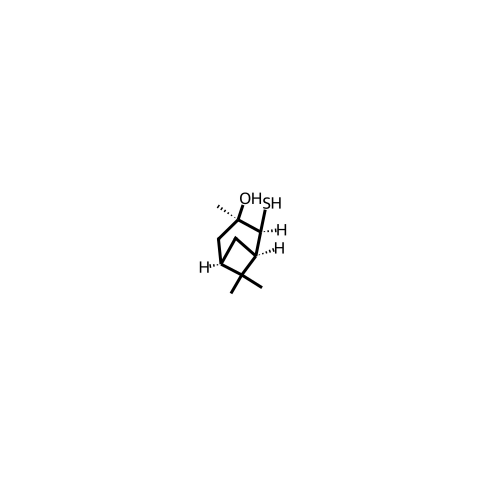 CC1(C)[C@@H]2C[C@H]1[C@H](S)[C@](C)(O)C2